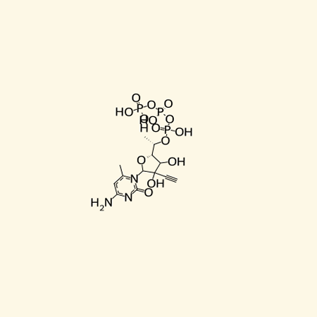 C#CC1(O)C(O)[C@@H]([C@H](C)OP(=O)(O)OP(=O)(O)OP(=O)(O)O)OC1n1c(C)cc(N)nc1=O